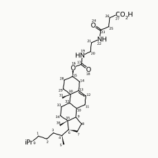 CC(C)CCC[C@H](C)[C@@H]1CCC2C3CC=C4C[C@H](OC(=O)NCCNC(=O)CCC(=O)O)CC[C@@]4(C)C3CC[C@]21C